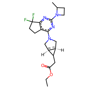 CCOC(=O)CC1[C@H]2CN(c3nc(N4CCC4C)nc4c3CCC4(F)F)C[C@@H]12